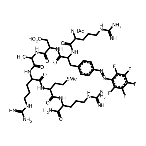 CSCCC(NC(=O)C(CCCNC(=N)N)NC(=O)C(C)NC(=O)C(CC(=O)O)NC(=O)C(Cc1ccc(/N=N/c2c(F)c(F)c(F)c(F)c2F)cc1)NC(=O)C(CCCNC(=N)N)NC(C)=O)C(=O)NC(CCCNC(=N)N)C(N)=O